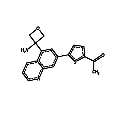 CC(=O)c1ccc(-c2cc(C3(N)COC3)c3cccnc3c2)s1